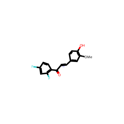 COc1cc(/C=C/C(=O)c2ccc(F)cc2F)ccc1O